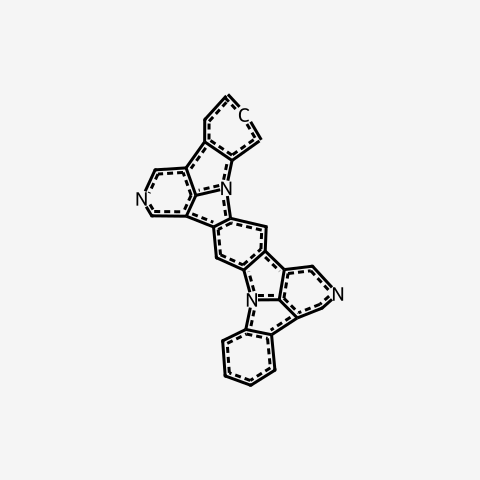 c1ccc2c(c1)c1cncc3c4cc5c(cc4n2c13)c1cncc2c3ccccc3n5c21